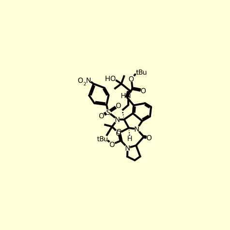 CC(C)(O)/C=C/c1cccc2c1[C@@]1(CCNC(=O)OC(C)(C)C)[C@H](OC(C)(C)N1S(=O)(=O)c1ccc([N+](=O)[O-])cc1)N2C(=O)C1CCCN1C(=O)OC(C)(C)C